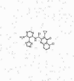 CC[C@H](Nc1ncnc(N)c1-c1nnco1)c1nc2cccc(Cl)c2c(=O)n1C1CC1